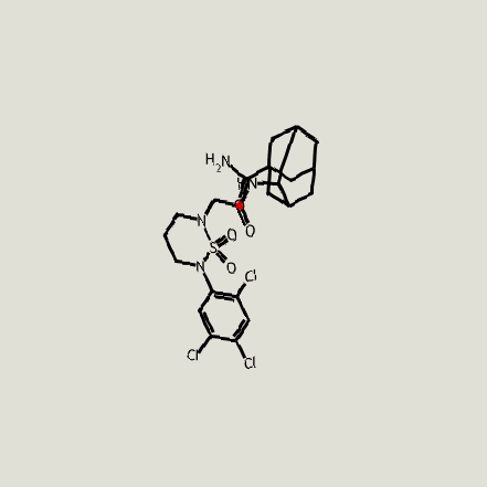 NC(=O)C12CC3CC(C1)C(NC(=O)CN1CCCN(c4cc(Cl)c(Cl)cc4Cl)S1(=O)=O)C(C3)C2